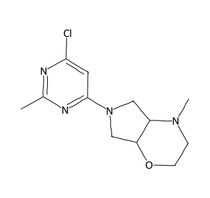 Cc1nc(Cl)cc(N2CC3OCCN(C)C3C2)n1